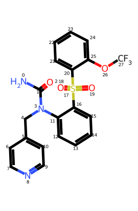 NC(=O)N(Cc1ccncc1)c1ccccc1S(=O)(=O)c1ccccc1OC(F)(F)F